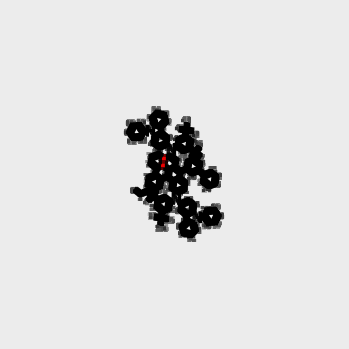 CCCC(C)(C)c1cc(N(c2ccc3c(-c4cccc(-c5ccccc5)c4)c4cc(N(c5cc(C(C)(C)C)cc(C(C)(C)C)c5)c5ccc6c(c5)c5ccccc5n6-c5ccccc5)ccc4c(-c4ccccc4-c4ccccc4)c3c2)c2ccc3c(c2)c2ccccc2n3-c2ccccc2)cc(C(C)(C)C)c1